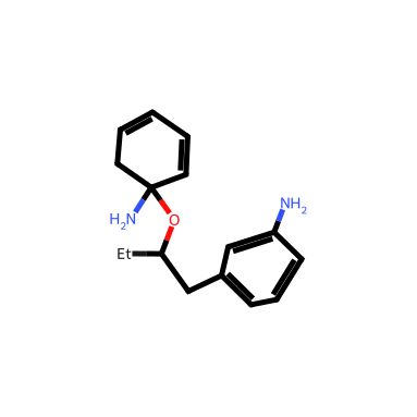 CCC(Cc1cccc(N)c1)OC1(N)C=CC=CC1